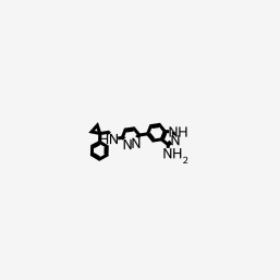 Nc1n[nH]c2ccc(-c3ccc(NCC4(c5ccccc5)CC4)nn3)cc12